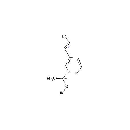 C/C=C/c1cccc([C@@H](OCC)C(=O)O)c1